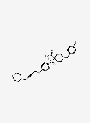 O=C(O)C1(S(=O)(=O)c2ccc(OCC#CCN3CCOCC3)cc2)CCN(Cc2ccc(Br)cc2)CC1